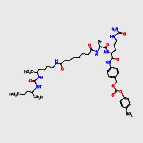 CC(C)C(NC(=O)CCCCCCC(=O)NCCCCC(NC(=O)NC(CCC(=O)O)C(=O)O)C(=O)O)C(=O)NC(CCCNC(N)=O)C(=O)Nc1ccc(COC(=O)Oc2ccc([N+](=O)[O-])cc2)cc1